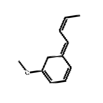 C/C=C\C=C1\C=CC=C(OC)C1